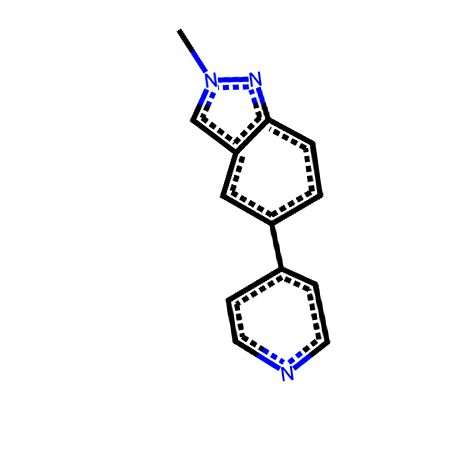 Cn1cc2cc(-c3ccncc3)ccc2n1